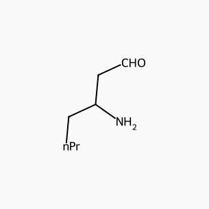 [CH2]CCCC(N)CC=O